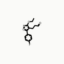 CCOc1noc(-c2ccc(F)cc2)c1CCC=O